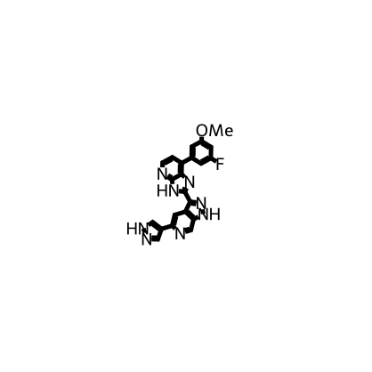 COc1cc(F)cc(-c2ccnc3[nH]c(-c4n[nH]c5cnc(-c6cn[nH]c6)cc45)nc23)c1